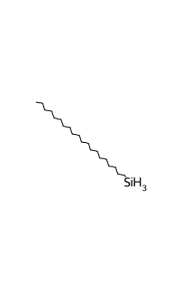 CCCCCCCCCCCCCCCCCCCC[SiH3]